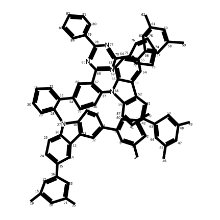 Cc1cc(C)cc(-c2ccc3c(c2)c2cc(-c4cc(C)cc(C)c4)ccc2n3-c2ccccc2-c2ccc(-n3c4ccc(-c5cc(C)cc(C)c5)cc4c4cc(-c5cc(C)cc(C)c5)ccc43)c(-c3nc(-c4ccccc4)nc(-c4ccccc4)n3)c2)c1